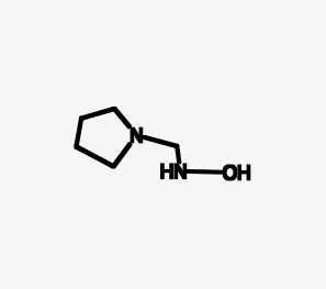 ONCN1CCCC1